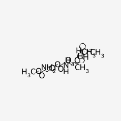 CCOC(=O)C(N)Cc1ccc(OC(=O)CNC(=O)CC[C@@H](C)[C@H]2CC[C@H]3[C@@H]4C[C@H](CC)C5CCCC[C@]5(C)[C@H]4CC[C@]23C)cc1